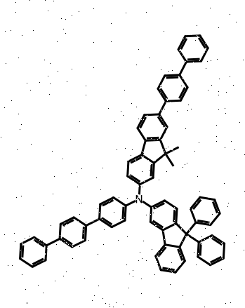 CC1(C)c2cc(-c3ccc(-c4ccccc4)cc3)ccc2-c2ccc(N(c3ccc(-c4ccc(-c5ccccc5)cc4)cc3)c3ccc4c(c3)-c3ccccc3C4(c3ccccc3)c3ccccc3)cc21